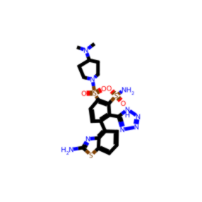 CN(C)C1CCN(S(=O)(=O)c2ccc(-c3cccc4sc(N)nc34)c(-c3nnn[nH]3)c2S(N)(=O)=O)CC1